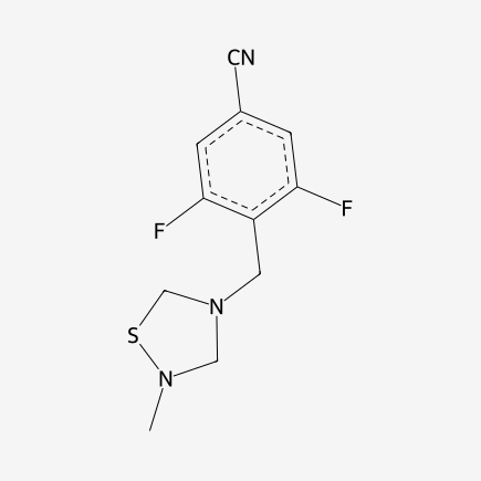 CN1CN(Cc2c(F)cc(C#N)cc2F)CS1